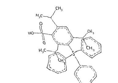 CC(C)c1cc(C(C)C)c(S(=O)(=O)O)c(C(C)C)c1S(c1ccccc1)(c1ccccc1)c1ccccc1